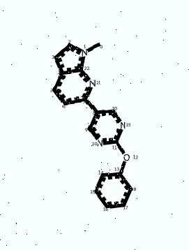 Cn1ccc2ccc(-c3cnc(Oc4ccccc4)nc3)nc21